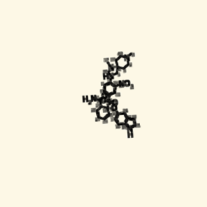 CN1CCC(CNc2ccc(S(=O)(=O)C3(Oc4ccc5[nH]ccc5c4)C=CC=CC3C(N)=O)cc2[N+](=O)[O-])(N(C)C)CC1